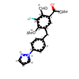 COC(=O)c1cc(Cc2ccc(-n3cccn3)cc2)c(OC)c(F)c1C=O